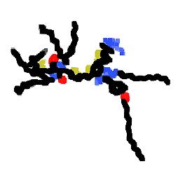 CCCCCCCCCCCCOc1ccc(-c2nc3c4c(c5sc(C(C)(C)N)cc5c3n2CCCCCCCCCCCC)SC(c2ccc(C3=C5C(=O)N(CC(CCCCCC)CCCCCCCC)C(c6ccc(C(C)(C)C)s6)=C5C(=O)N3CC(CCCCCC)CCCCCCCC)s2)C4)cc1